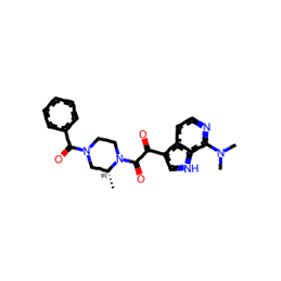 C[C@@H]1CN(C(=O)c2ccccc2)CCN1C(=O)C(=O)c1c[nH]c2c(N(C)C)nccc12